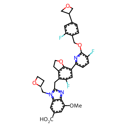 COc1cc(C(=O)O)cc2c1nc(Cc1c(F)cc(-c3ccc(F)c(OCc4ccc(C5COC5)cc4F)n3)c3c1CCO3)n2C[C@@H]1CCO1